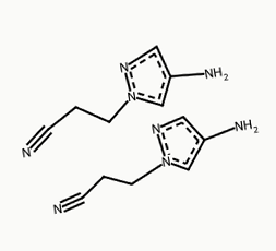 N#CCCn1cc(N)cn1.N#CCCn1cc(N)cn1